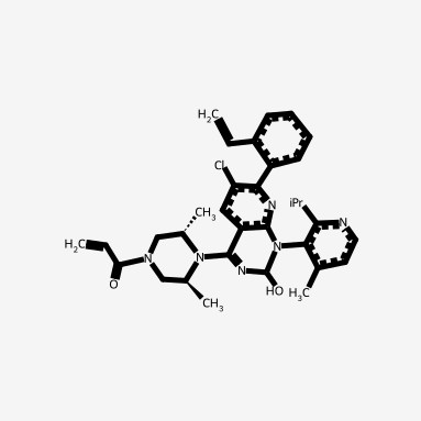 C=CC(=O)N1C[C@H](C)N(C2=NC(O)N(c3c(C)ccnc3C(C)C)c3nc(-c4ccccc4C=C)c(Cl)cc32)[C@@H](C)C1